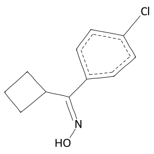 ON=C(c1ccc(Cl)cc1)C1CCC1